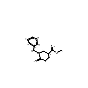 COC(=O)C1CCC(=O)N(Cc2ccccc2)C1